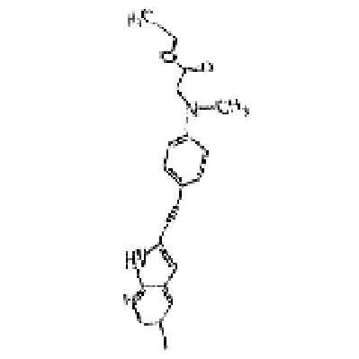 CCOC(=O)CN(C)c1ccc(C#Cc2cc3c([nH]2)=NCC(I)C=3)cc1